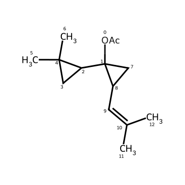 CC(=O)OC1(C2CC2(C)C)CC1C=C(C)C